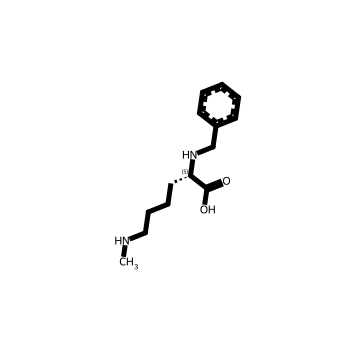 CNCCCC[C@H](NCc1ccccc1)C(=O)O